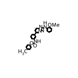 COc1ccccc1Nc1nc2ccc(-c3cccc(NC(=O)Oc4ccc(C)cc4)c3)cn2n1